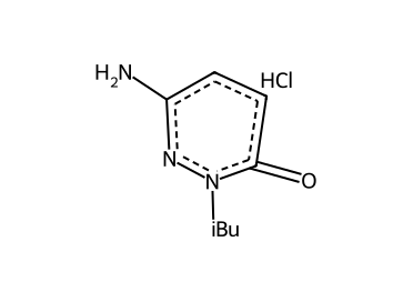 CCC(C)n1nc(N)ccc1=O.Cl